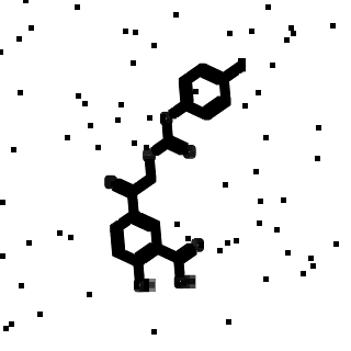 O=C(OCC(=O)c1ccc(O)c(C(=O)O)c1)Oc1ccc(I)cc1